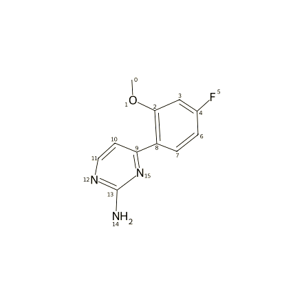 COc1cc(F)ccc1-c1ccnc(N)n1